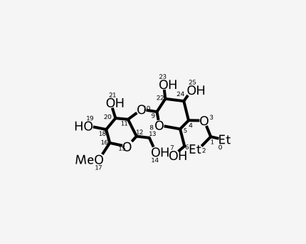 CCC(CC)OC1C(CO)OC(OC2C(CO)OC(OC)C(O)C2O)C(O)C1O